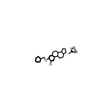 CCc1cc2c(cc1OCc1ccccc1)CCC1C2CC[C@@]2(C)C1CC[C@@H]2Cc1nnn[nH]1